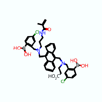 C=C(C)C(=O)NCCCN(Cc1cc(Cl)ccc1B(O)O)Cc1c2ccccc2c(CN(CCC(=O)O)Cc2cc(Cl)ccc2B(O)O)c2ccccc12